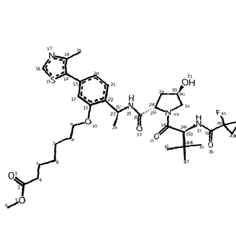 COC(=O)CCCCCCOc1cc(-c2scnc2C)ccc1[C@H](C)NC(=O)[C@@H]1C[C@@H](O)CN1C(=O)[C@@H](NC(=O)C1(F)CC1)C(C)(C)C